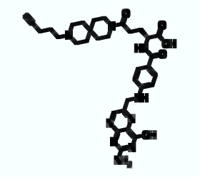 C#CCCCN1CCC2(CC1)CCN(C(=O)CC[C@H](NC(=O)c1ccc(NCc3cnc4nc(N)nc(O)c4n3)cc1)C(=O)O)CC2